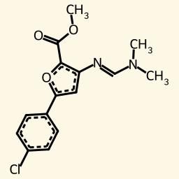 COC(=O)c1oc(-c2ccc(Cl)cc2)cc1N=CN(C)C